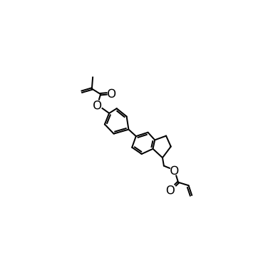 C=CC(=O)OCC1CCc2cc(-c3ccc(OC(=O)C(=C)C)cc3)ccc21